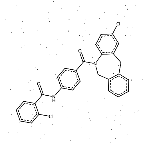 O=C(Nc1ccc(C(=O)N2Cc3ccccc3Cc3cc(Cl)ccc32)cc1)c1ccccc1Cl